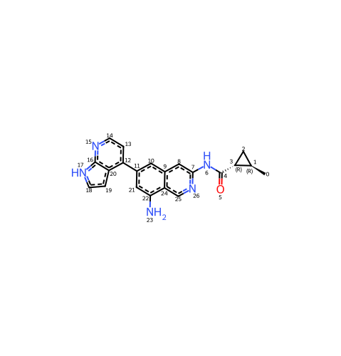 C[C@@H]1C[C@H]1C(=O)Nc1cc2cc(-c3ccnc4[nH]ccc34)cc(N)c2cn1